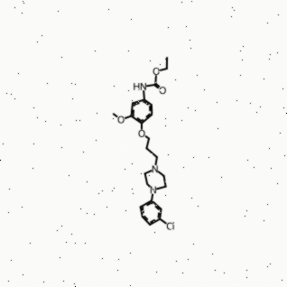 CCOC(=O)Nc1ccc(OCCCN2CCN(c3cccc(Cl)c3)CC2)c(OC)c1